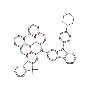 CC1(C)c2ccccc2-c2ccc(N(c3ccc4c5ccccc5n(-c5ccc(C6CCCCC6)cc5)c4c3)c3ccccc3-c3cccc4cccc(-c5ccccc5)c34)cc21